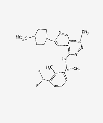 Cc1c(C(F)F)cccc1[C@@H](C)Nc1nnc(C)c2cnc(C3CCC(C(=O)O)CC3)cc12